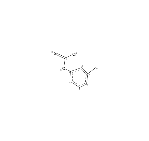 Cc1cccc(OC(=S)Cl)c1